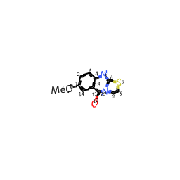 COc1ccc2nc3sccn3c(=O)c2c1